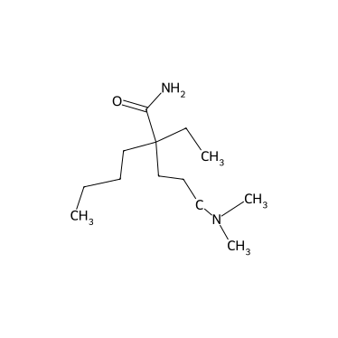 CCCCC(CC)(CCCN(C)C)C(N)=O